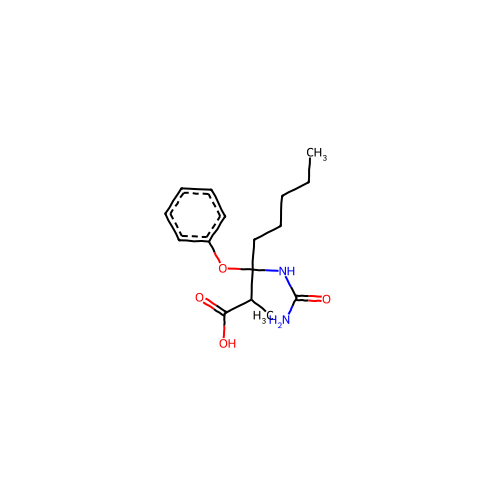 CCCCCC(NC(N)=O)(Oc1ccccc1)C(C)C(=O)O